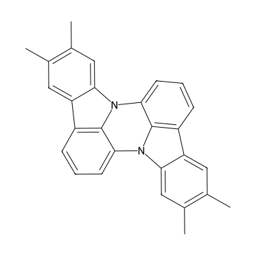 Cc1cc2c3cccc4c3n(c2cc1C)c1cccc2c3cc(C)c(C)cc3n4c21